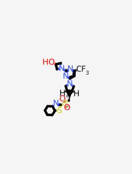 O=S(=O)(C[C@H]1[C@@H]2CN(c3cc(C(F)(F)F)nc(N4CC(O)C4)n3)C[C@@H]21)C1=NC2CCCCC2S1